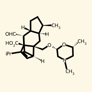 CC(C)C1=C[C@H]2C[C@@]3(C=O)[C@@H]4CC[C@@H](C)[C@H]4C[C@@]2(CO[C@H]2CN(C)C[C@@H](C)O2)[C@]13C(=O)O